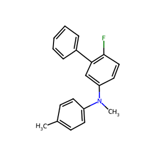 Cc1ccc(N(C)c2ccc(F)c(-c3ccccc3)c2)cc1